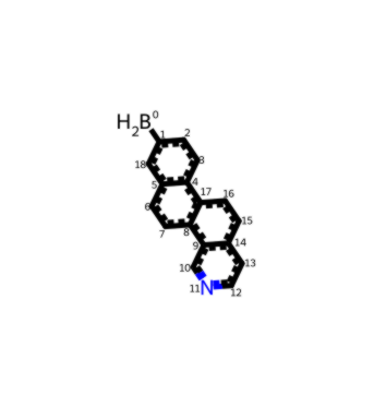 Bc1ccc2c(ccc3c4cnccc4ccc23)c1